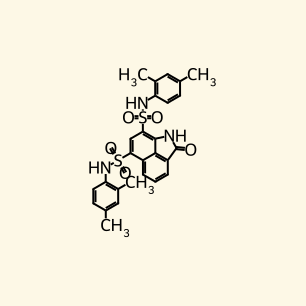 Cc1ccc(NS(=O)(=O)c2cc(S(=O)(=O)Nc3ccc(C)cc3C)c3cccc4c3c2NC4=O)c(C)c1